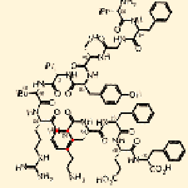 CC[C@H](C)[C@H](NC(=O)[C@@H](NC(=O)[C@H](Cc1ccc(O)cc1)NC(=O)[C@H](CS)NC(=O)CNC(=O)[C@H](Cc1ccccc1)NC(=O)[C@@H](N)C(C)C)C(C)C)C(=O)N[C@@H](CCCNC(=N)N)C(=O)N[C@@H](CCCCN)C(=O)N[C@@H](Cc1ccccc1)C(=O)N[C@@H](Cc1ccccc1)C(=O)N[C@@H](CCC(=O)O)C(=O)N[C@@H](Cc1ccccc1)C(=O)O